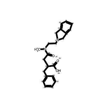 CN(CCN1Cc2ccccc2C1)C(=O)CC(Cc1ccccc1)C(=O)O